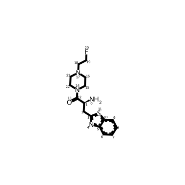 N[C@@H](Cc1nc2ccccc2s1)C(=O)N1CCN(CCF)CC1